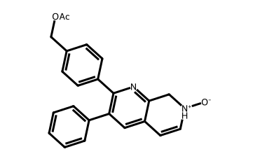 CC(=O)OCc1ccc(-c2nc3c(cc2-c2ccccc2)C=C[NH+]([O-])C3)cc1